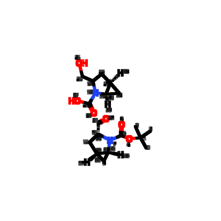 CC(C)(C)OC(=O)N1[C@@H]2C[C@@H]2C[C@@H]1C=O.O=C(O)N1C(CO)C[C@H]2C[C@H]21